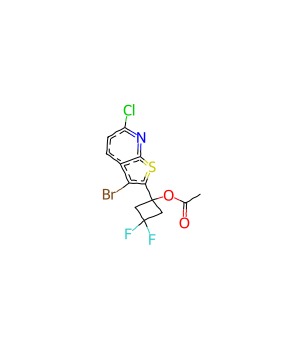 CC(=O)OC1(c2sc3nc(Cl)ccc3c2Br)CC(F)(F)C1